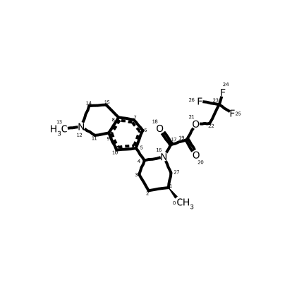 C[C@H]1CCC(c2ccc3c(c2)CN(C)CC3)N(C(=O)C(=O)OCC(F)(F)F)C1